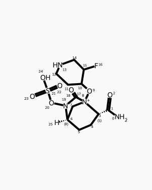 NC(=O)[C@@H]1CC[C@@H]2C[N+]1(OC1CCNCC1F)C(=O)N2OS(=O)(=O)O